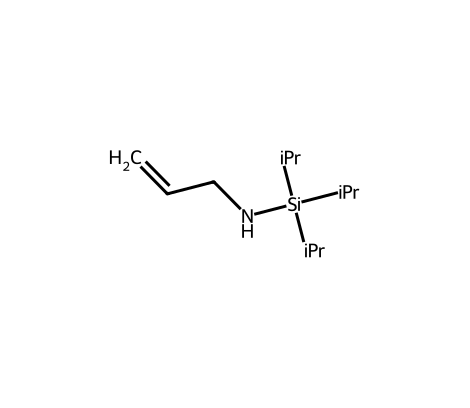 C=CCN[Si](C(C)C)(C(C)C)C(C)C